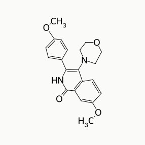 COc1ccc(-c2[nH]c(=O)c3cc(OC)ccc3c2N2CCOCC2)cc1